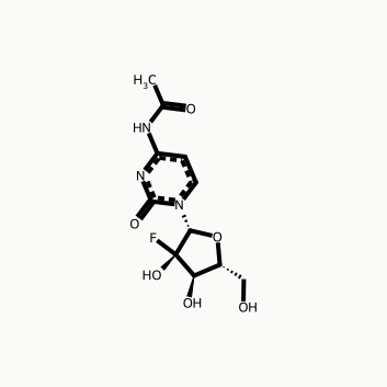 CC(=O)Nc1ccn([C@@H]2O[C@H](CO)[C@@H](O)[C@]2(O)F)c(=O)n1